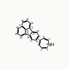 C1=CC=CNC=C1.c1ccc2c(c1)-c1cccc3cccc-2c13